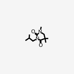 CC(C)CN1C(=O)N(C)CC(C)(C)C1=O